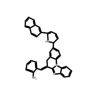 Nc1ccccc1/C=C1\Cc2cc(C3C=CC=C(c4ccc5ccccc5c4)N3)ccc2-n2c1nc1ccccc12